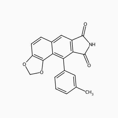 Cc1cccc(-c2c3c(cc4ccc5c(c24)OCO5)C(=O)NC3=O)c1